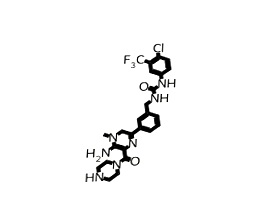 CN1CC(c2cccc(CNC(=O)Nc3ccc(Cl)c(C(F)(F)F)c3)c2)=NC(C(=O)N2CCNCC2)=C1N